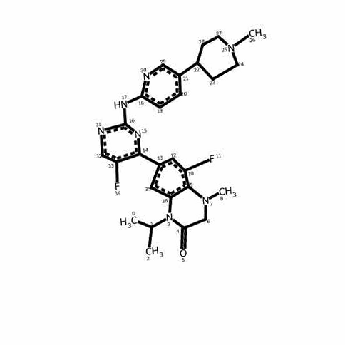 CC(C)N1C(=O)CN(C)c2c(F)cc(-c3nc(Nc4ccc(C5CCN(C)CC5)cn4)ncc3F)cc21